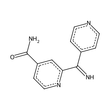 N=C(c1ccncc1)c1cc(C(N)=O)ccn1